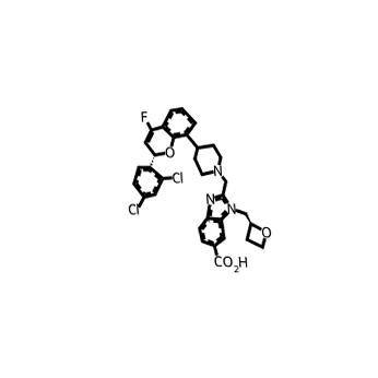 O=C(O)c1ccc2nc(CN3CCC(c4cccc5c4O[C@H](c4ccc(Cl)cc4Cl)C=C5F)CC3)n(C[C@@H]3CCO3)c2c1